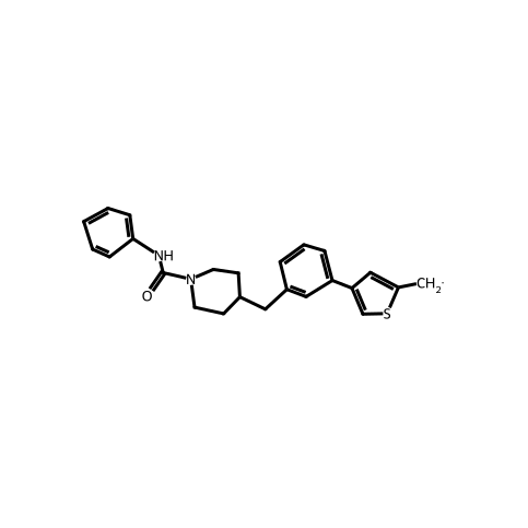 [CH2]c1cc(-c2cccc(CC3CCN(C(=O)Nc4ccccc4)CC3)c2)cs1